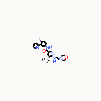 Cc1cc(C(=O)Nc2ccc(I)c(-c3ccccn3)c2)cnc1NCCN1CCOCC1